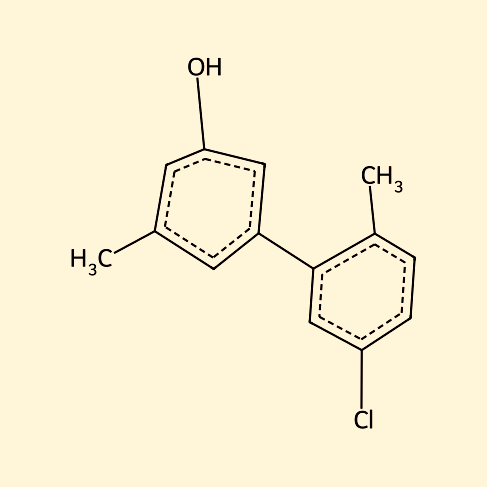 Cc1cc(O)cc(-c2cc(Cl)ccc2C)c1